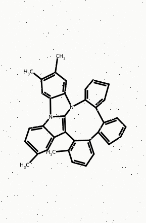 Cc1ccc2c(c1)c1c3c(C)cccc3c3ccccc3c3ccccc3n3c4cc(C)c(C)cc4n2c13